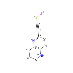 ISC#Cc1ccc2c(n1)CCCN2